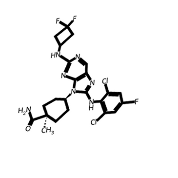 C[C@]1(C(N)=O)CC[C@@H](n2c(Nc3c(Cl)cc(F)cc3Cl)nc3cnc(NC4CC(F)(F)C4)nc32)CC1